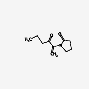 C=C(C(=O)CCC)N1CCCC1=O